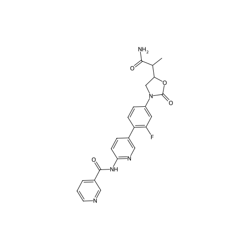 CC(C(N)=O)C1CN(c2ccc(-c3ccc(NC(=O)c4cccnc4)nc3)c(F)c2)C(=O)O1